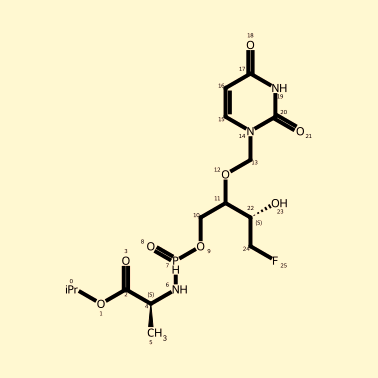 CC(C)OC(=O)[C@H](C)N[PH](=O)OCC(OCn1ccc(=O)[nH]c1=O)[C@H](O)CF